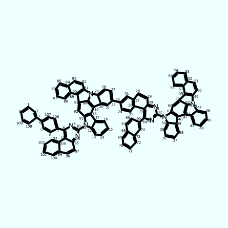 c1ccc(-c2ccc(-c3nc(-n4c5ccccc5c5c6c7cc(-c8ccc9c(ccc%10nc(-n%11c%12ccccc%12c%12c%13c%14ccccc%14n%14c%15ccc%16ccccc%16c%15c(cc%12%11)c%13%14)nc(-c%11ccc%12ccccc%12c%11)c%109)c8)ccc7n7c8ccc9ccccc9c8c(cc54)c67)nc4ccc5ccccc5c34)cc2)cc1